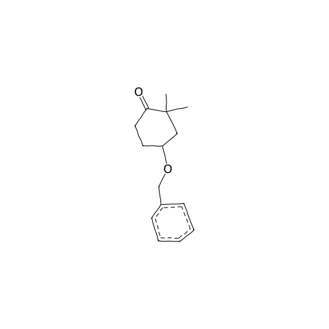 CC1(C)CC(OCc2ccccc2)CCC1=O